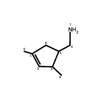 CC1=CC(C)C(CN)C1